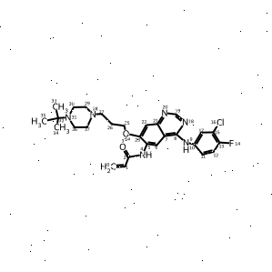 C=CC(=O)Nc1cc2c(Nc3ccc(F)c(Cl)c3)ncnc2cc1OCCCN1CCN(C(C)(C)C)CC1